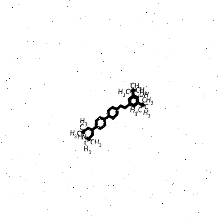 CC1(C)CC(C2CCC(C3CCC(CCc4cc(C(C)(C)C)c(O)c(C(C)(C)C)c4)CC3)CC2)CC(C)(C)N1